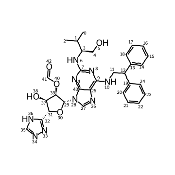 CC(C)[C@@H](CO)Nc1nc(NCC(c2ccccc2)c2ccccc2)c2ncn([C@@H]3O[C@H](c4nnc[nH]4)[C@@H](O)[C@H]3OC=O)c2n1